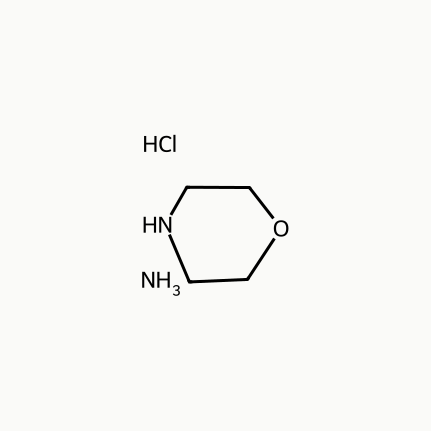 C1COCCN1.Cl.N